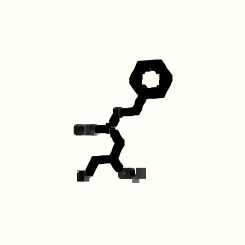 CC(C)CC(CN(C=O)OCc1ccccc1)C(=O)O